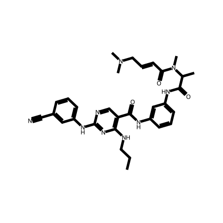 CCCNc1nc(Nc2cccc(C#N)c2)ncc1C(=O)Nc1cccc(NC(=O)C(C)N(C)C(=O)C=CCN(C)C)c1